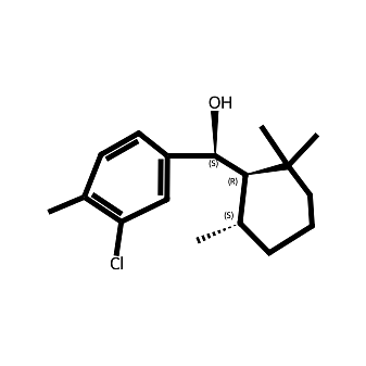 Cc1ccc([C@@H](O)[C@@H]2[C@@H](C)CCCC2(C)C)cc1Cl